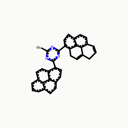 CC(C)(C)c1nc(-c2ccc3ccc4c5c3c2CC=C5CC=C4)nc(-c2ccc3ccc4cccc5ccc2c3c45)n1